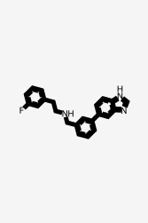 Fc1cccc(CCNCc2cccc(-c3ccc4[nH]cnc4c3)c2)c1